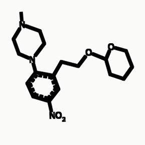 CN1CCN(c2ccc([N+](=O)[O-])cc2CCOC2CCCCO2)CC1